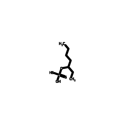 CCCCC(CC)OP(O)(=S)S